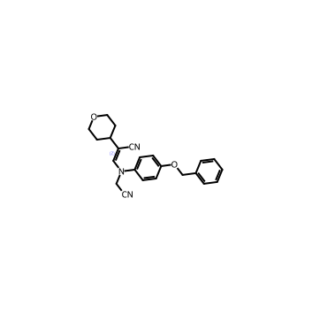 N#CCN(/C=C(\C#N)C1CCOCC1)c1ccc(OCc2ccccc2)cc1